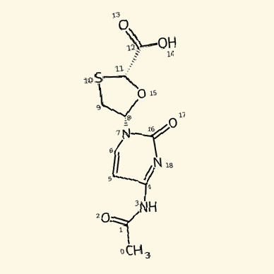 CC(=O)Nc1ccn([C@@H]2CS[C@H](C(=O)O)O2)c(=O)n1